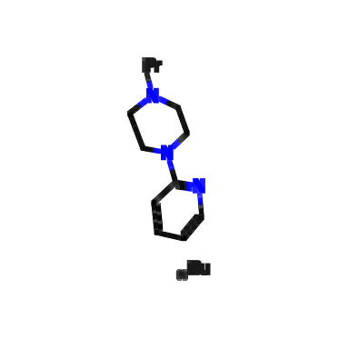 CC[C@H](C)c1ccc(N2CCN(C(C)C)CC2)nc1